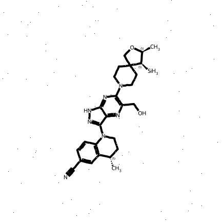 C[C@@H]1OCC2(CCN(c3nc4[nH]nc(N5CC[C@H](C)c6cc(C#N)ccc65)c4nc3CO)CC2)[C@@H]1[SiH3]